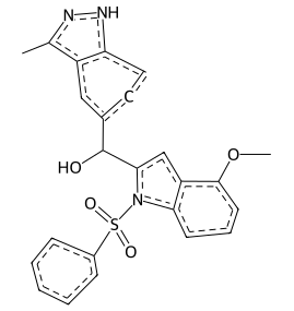 COc1cccc2c1cc(C(O)c1ccc3[nH]nc(C)c3c1)n2S(=O)(=O)c1ccccc1